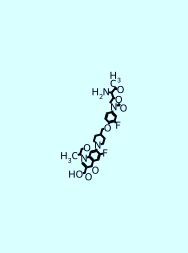 CC(=O)C(N)C1CN(c2ccc(OCC3CCN(c4c(F)cc5c(=O)c(C(=O)O)cn6c5c4OCC6C)CC3)c(F)c2)C(=O)O1